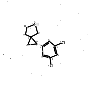 Clc1cc(Cl)cc([C@@H]2CC23CCNC3)c1